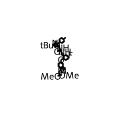 COC(Cn1ncc2cc(Oc3ccc(F)cc3CNC(=O)Nc3cc(C(C)(C)C)nn3-c3ccc(C)cc3)ccc21)OC